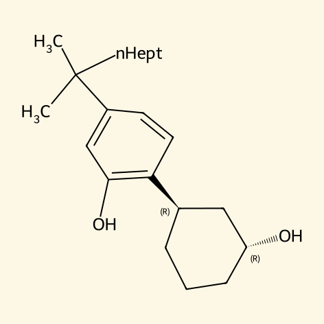 CCCCCCCC(C)(C)c1ccc([C@@H]2CCC[C@@H](O)C2)c(O)c1